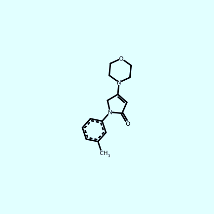 Cc1cccc(N2CC(N3CCOCC3)=CC2=O)c1